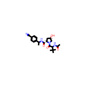 CC(=O)NC(C(=O)N1C[C@H](O)C[C@H]1C(=O)NC(C)c1ccc(C#N)cc1)C(C)(C)C